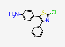 Nc1ccc(-c2sc(Cl)nc2-c2ccccc2)cc1